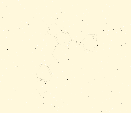 Cc1cc2c(NCc3ccc4c(c3)OCO4)nc(-c3cccnc3)nc2s1